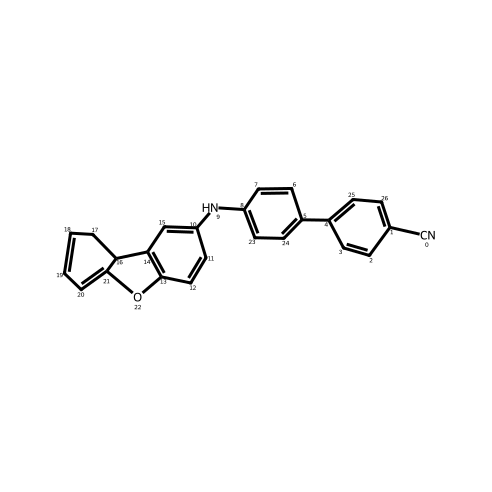 N#Cc1ccc(-c2ccc(Nc3ccc4c(c3)C3CC=CC=C3O4)cc2)cc1